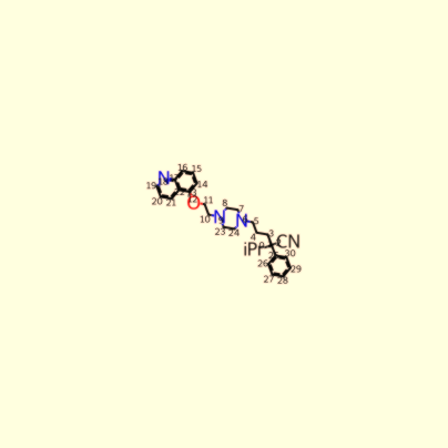 CC(C)C(C#N)(CCCN1CCN(CCOc2cccc3ncccc23)CC1)c1ccccc1